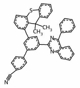 CC1(C)c2ccccc2Sc2cccc(-c3cc(-c4ccc(C#N)cc4)cc(-c4nc(-c5ccccc5)c5ccccc5n4)c3)c21